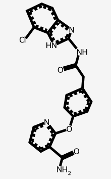 NC(=O)c1cccnc1Oc1ccc(CC(=O)Nc2nc3cccc(Cl)c3[nH]2)cc1